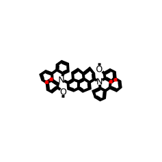 COc1ccccc1N(c1ccccc1-c1ccccc1)c1ccc2ccc3c(N(c4ccccc4OC)c4ccccc4-c4ccccc4)ccc4ccc1c2c43